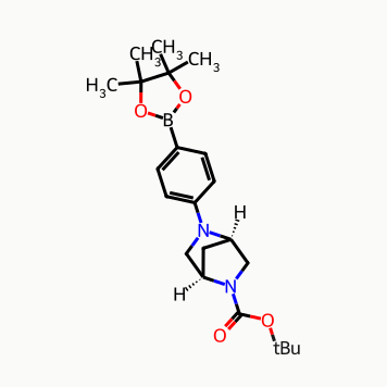 CC(C)(C)OC(=O)N1C[C@H]2C[C@@H]1CN2c1ccc(B2OC(C)(C)C(C)(C)O2)cc1